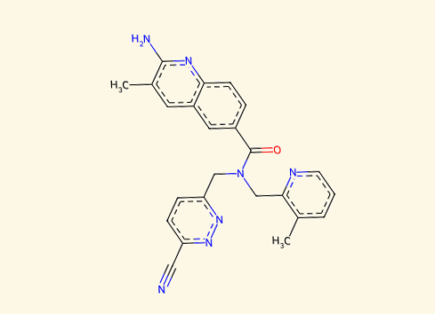 Cc1cc2cc(C(=O)N(Cc3ccc(C#N)nn3)Cc3ncccc3C)ccc2nc1N